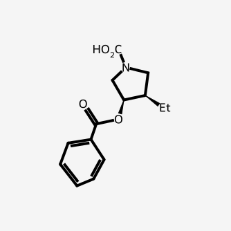 CC[C@@H]1CN(C(=O)O)C[C@@H]1OC(=O)c1ccccc1